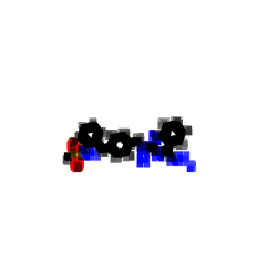 CS(=O)(=O)Nc1ccccc1CC1CCC(CNc2nc(N)c3ccccc3n2)CC1